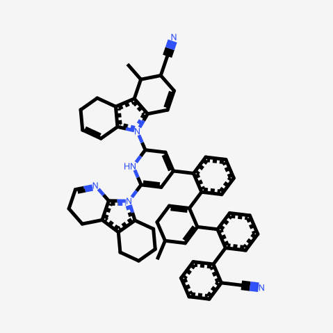 CC1C=C(c2ccccc2-c2ccccc2C#N)C(c2ccccc2C2=CC(n3c4c(c5c3C=CC(C#N)C5C)CCC=C4)NC(n3c4c(c5c3N=CCC5)CCCC4)=C2)=CC1